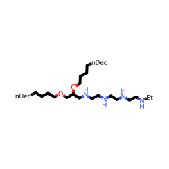 CCCCCCCCCCCCCCOCC(CNCCNCCNCCNCC)OCCCCCCCCCCCCCC